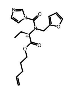 C=CCCCOC(=O)[C@@H](CC)N(Cc1ccco1)C(=O)n1ccnc1